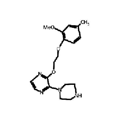 COc1cc(C)ccc1OCCOc1nccnc1N1CCNCC1